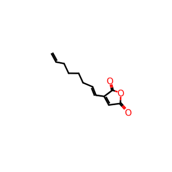 C=CCCCC/C=C/C1=CC(=O)OC1=O